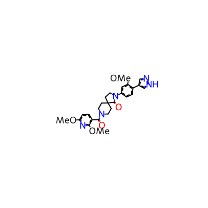 COc1ccc(C(=O)N2CCC3(CC2)CCN(c2ccc(-c4cn[nH]c4)c(OC)c2)C3=O)c(OC)n1